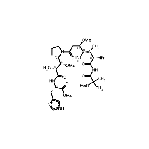 CC[C@H](C)[C@@H]([C@@H](CC(=O)N1CCC[C@H]1[C@H](OC)[C@@H](C)C(=O)N[C@@H](Cc1c[nH]cn1)C(=O)OC)OC)N(C)[C@H](C(=O)NC(=O)C(C)(C)NC)C(C)C